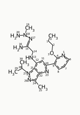 CCCOc1ncccc1-c1cc(NC/C(N)=N/N(C)N)c2c(n1)c(C)nn2C(C)C